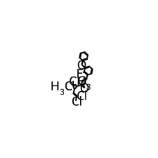 CC1(C)C(C=C(Cl)Cl)C1C(=O)OCc1cccc(Oc2ccccc2)c1F